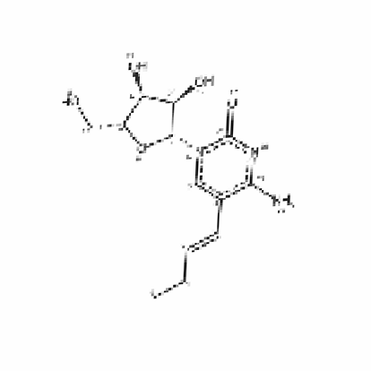 CC/C=C/c1cn([C@@H]2O[C@H](CO)[C@@H](O)[C@H]2O)c(=O)nc1N